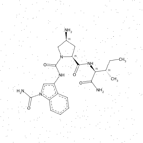 CC[C@H](C)[C@H](NC(=O)[C@@H]1C[C@H](N)CN1C(=O)Nc1cn(C(N)=O)c2ccccc12)C(N)=O